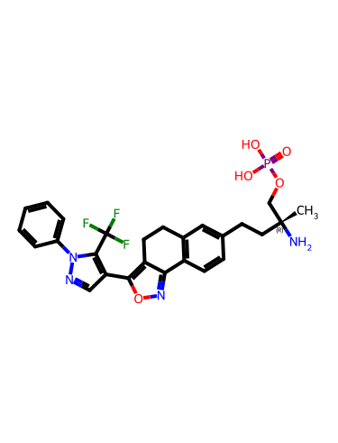 C[C@@](N)(CCc1ccc2c(c1)CCc1c-2noc1-c1cnn(-c2ccccc2)c1C(F)(F)F)COP(=O)(O)O